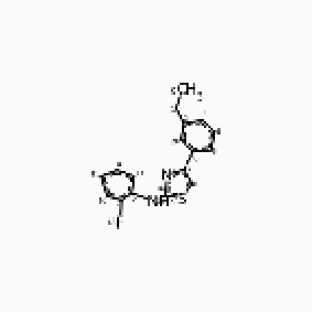 CCc1cccc(-c2csc(Nc3ccccc3F)n2)c1